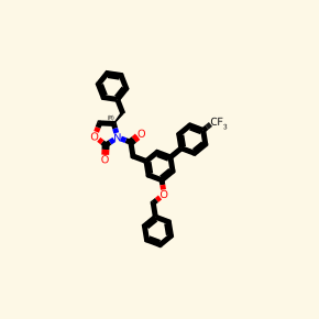 O=C(Cc1cc(OCc2ccccc2)cc(-c2ccc(C(F)(F)F)cc2)c1)N1C(=O)OC[C@H]1Cc1ccccc1